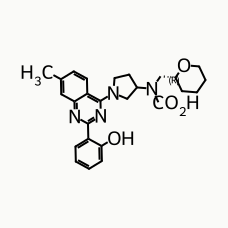 Cc1ccc2c(N3CCC(N(C[C@H]4CCCCO4)C(=O)O)C3)nc(-c3ccccc3O)nc2c1